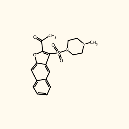 CC(=O)c1oc2cc3ccccc3cc2c1S(=O)(=O)N1CCN(C)CC1